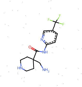 NCC1(C(=O)Nc2ccc(C(F)(F)F)cn2)CCNCC1